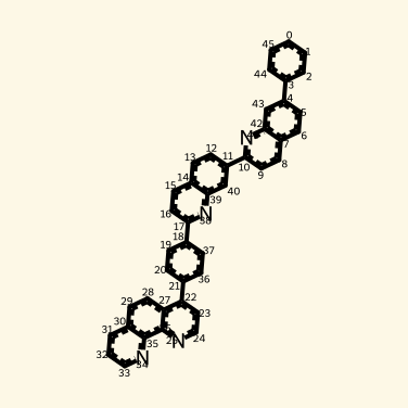 c1ccc(-c2ccc3ccc(-c4ccc5ccc(-c6ccc(-c7ccnc8c7ccc7cccnc78)cc6)nc5c4)nc3c2)cc1